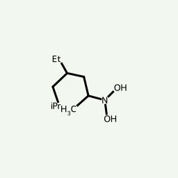 CCC(CC(C)C)CC(C)N(O)O